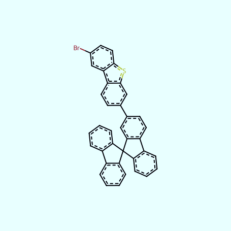 Brc1ccc2sc3cc(-c4ccc5c(c4)C4(c6ccccc6-c6ccccc64)c4ccccc4-5)ccc3c2c1